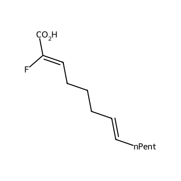 CCCCCC=CCCCC=C(F)C(=O)O